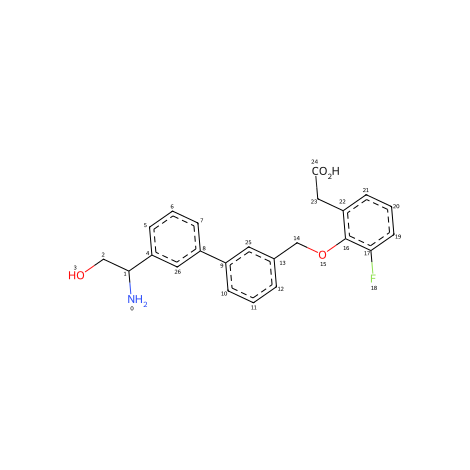 NC(CO)c1cccc(-c2cccc(COc3c(F)cccc3CC(=O)O)c2)c1